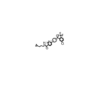 O=C(NCCCC1CC1)c1ccc(N2CCN(C(=O)c3cc(Cl)ccc3C(F)(F)F)CC2)nn1